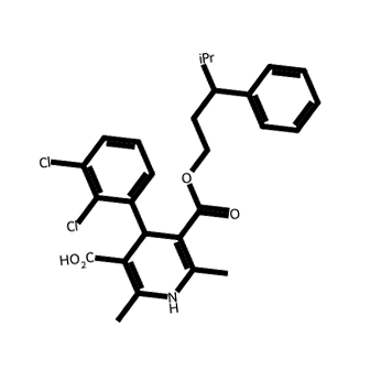 CC1=C(C(=O)O)C(c2cccc(Cl)c2Cl)C(C(=O)OCCC(c2ccccc2)C(C)C)=C(C)N1